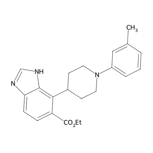 CCOC(=O)c1ccc2nc[nH]c2c1C1CCN(c2cccc(C)c2)CC1